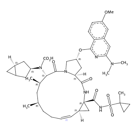 COc1ccc2c(O[C@@H]3C[C@H]4C(=O)N[C@]5(C(=O)NS(=O)(=O)C6(C)CC6)C[C@H]5/C=C\CC[C@@H](C)C[C@@H](C)[C@H](N(C(=O)O)[C@H]5CC6C[C@H]6C5)C(=O)N4C3)nc(N(C)C)cc2c1